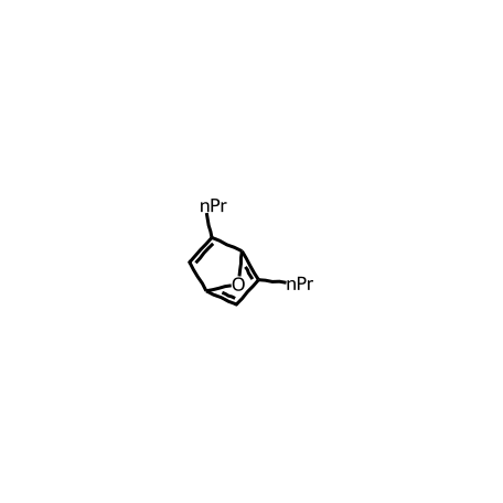 CCCc1cc2cc(CCC)c1o2